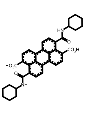 O=C(O)c1ccc2c3ccc(C(=O)NC4CCCCC4)c4c(C(=O)O)ccc(c5ccc(C(=O)NC6CCCCC6)c1c25)c43